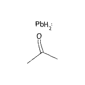 CC(C)=O.[PbH2]